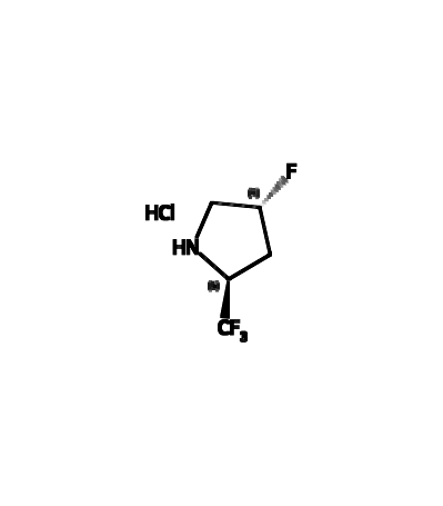 Cl.F[C@H]1CN[C@H](C(F)(F)F)C1